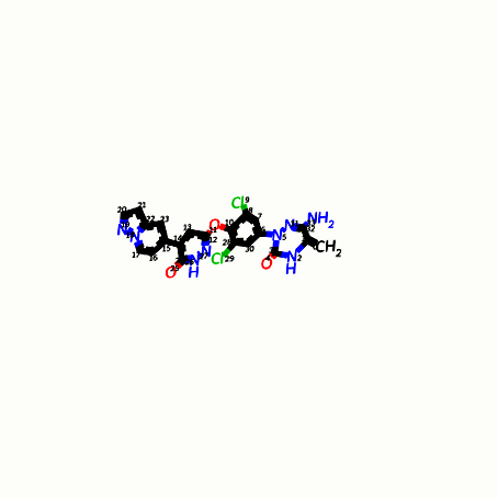 C=C1NC(=O)N(c2cc(Cl)c(Oc3cc(-c4ccn5nccc5c4)c(=O)[nH]n3)c(Cl)c2)N=C1N